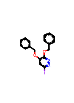 Ic1cc(OCc2ccccc2)c(OCc2ccccc2)nn1